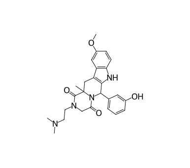 COc1ccc2[nH]c3c(c2c1)CC1(C)C(=O)N(CCN(C)C)CC(=O)N1C3c1cccc(O)c1